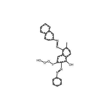 Cc1ccc2c(O)c(N=Nc3ccccc3)c(SOOO)cc2c1N=Nc1ccc2ccccc2c1